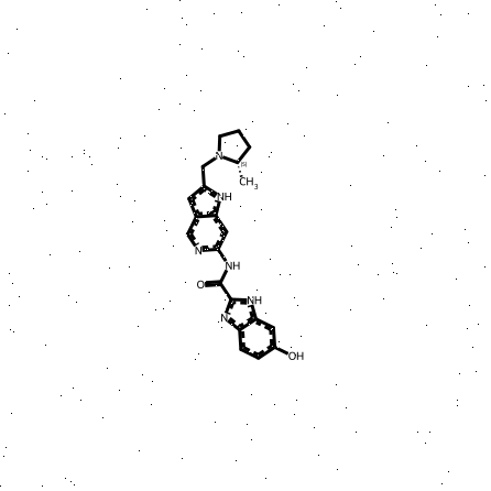 C[C@H]1CCCN1Cc1cc2cnc(NC(=O)c3nc4ccc(O)cc4[nH]3)cc2[nH]1